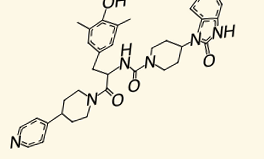 Cc1cc(CC(NC(=O)N2CCC(n3c(=O)[nH]c4ccccc43)CC2)C(=O)N2CCC(c3ccncc3)CC2)cc(C)c1O